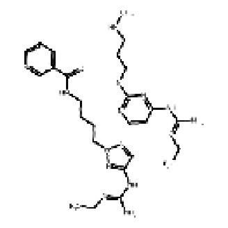 NC(=NCC(F)(F)F)Nc1ccnc(SCCCNC=O)n1.NC(=NCC(F)(F)F)Nc1cnn(CCCCNC(=O)c2cccnc2)n1